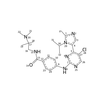 Cc1ncc(-c2nc(Nc3ccc(C(=O)NCC(C)(C)N(C)C)cc3)ncc2Cl)n1C(C)C